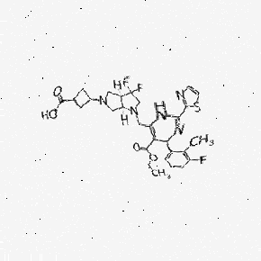 CCOC(=O)C1=C(CN2CC(F)(F)[C@@H]3CN([C@H]4C[C@@H](C(=O)O)C4)C[C@@H]32)NC(c2nccs2)=N[C@H]1c1cccc(F)c1C